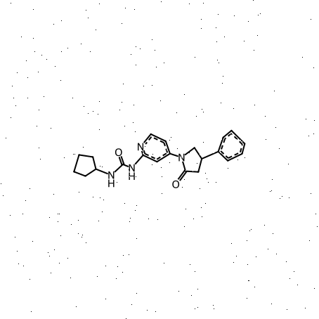 O=C(Nc1cc(N2CC(c3ccccc3)CC2=O)ccn1)NC1CCCC1